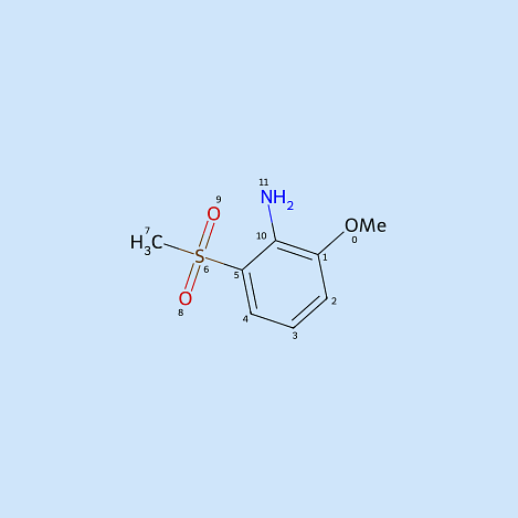 COc1cccc(S(C)(=O)=O)c1N